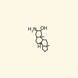 CC12CCCC1[C@@H]1CCC3CC(N)C(O)CC3(C)C1CC2